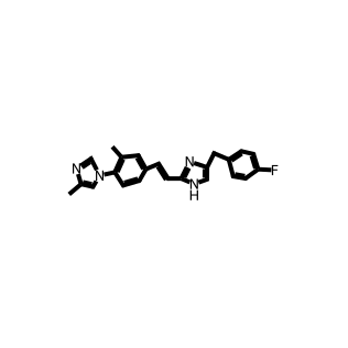 Cc1cn(-c2ccc(/C=C/c3nc(Cc4ccc(F)cc4)c[nH]3)cc2C)cn1